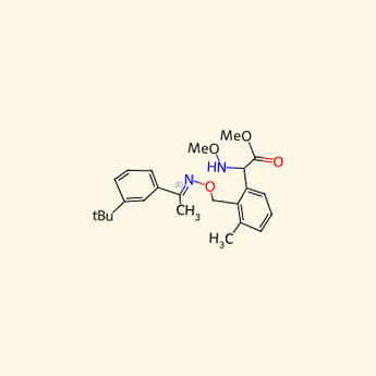 CONC(C(=O)OC)c1cccc(C)c1CO/N=C(\C)c1cccc(C(C)(C)C)c1